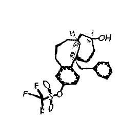 C[C@]1(O)CC[C@]2(Cc3ccccc3)c3ccc(OS(=O)(=O)C(F)(F)F)cc3CCC[C@H]2C1